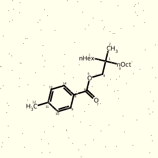 CCCCCCCCC(C)(CCCCCC)COC(=O)c1ccc(C)cc1